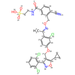 CC(=NOCc1cc(C(=O)NCCS(=O)(=O)O)ccc1C#N)c1ccc(OCc2c(-c3c(Cl)cccc3Cl)noc2C2CC2)cc1Cl